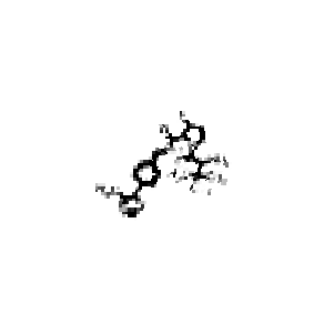 Cc1ncsc1-c1ccc(CNC(=O)C2C(F)CCN2C(=O)C(N)C(C)(C)C)cc1